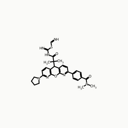 CN(C)C(=O)c1ccc(-c2ccc3c(n2)Oc2nc(N4CCCC4)ccc2C3C(C)(C)C(=O)NC(=N)SC=N)cc1